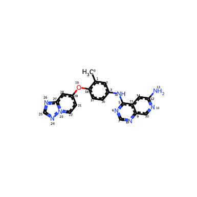 Cc1cc(Nc2ncnc3cnc(N)cc23)ccc1Oc1ccn2ncnc2c1